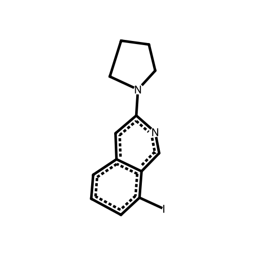 Ic1cccc2cc(N3CCCC3)ncc12